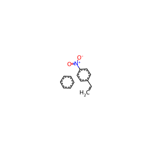 C=Cc1ccc([N+](=O)[O-])cc1.c1ccccc1